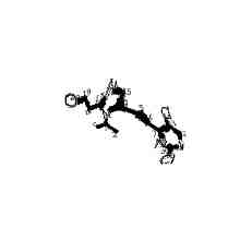 CC(C)n1c(C#Cc2nc(Cl)ncc2Cl)cnc1CC=O